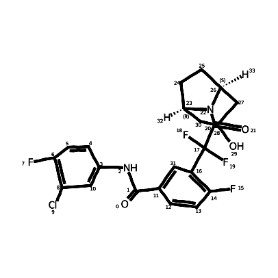 O=C(Nc1ccc(F)c(Cl)c1)c1ccc(F)c(C(F)(F)C(=O)N2[C@@H]3CC[C@H]2CC(O)C3)c1